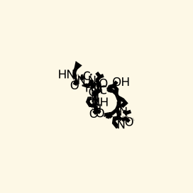 CCn1c(-c2cccnc2[C@H](C)OC)c2c3cc(ccc31)-c1cc(O)cc(c1)C[C@H](NC(=O)C(C(C)C)N1CCCN(C(=O)[C@@H]3NC3C3CC3)CCC1=O)C(=O)N1CCC[C@H](N1)C(=O)OCC(C)(C)C2